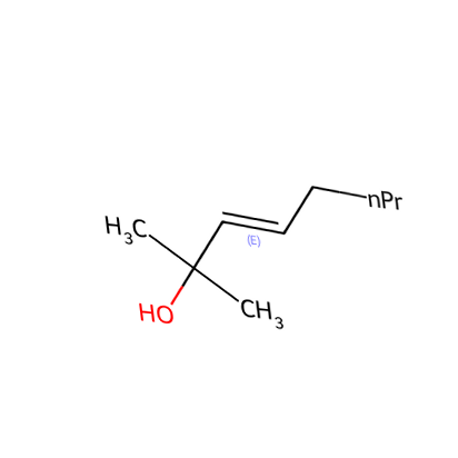 CCCC/C=C/C(C)(C)O